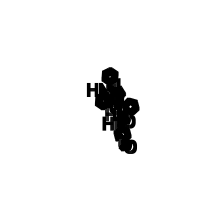 CC(=O)N1CCC(NC(=O)N[C@@H]2CCCC[C@@H]2C(=O)N2CC[C@@H]3[C@H](C4C=CC=CC4)Nc4ccccc4[C@@H]32)CC1